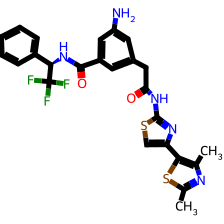 Cc1nc(C)c(-c2csc(NC(=O)Cc3cc(N)cc(C(=O)N[C@H](c4ccccc4)C(F)(F)F)c3)n2)s1